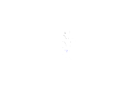 C/C=C(C)/C=C(\CC)CN1CCCCC1